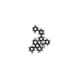 O=c1c2ccccc2c2cc(-c3cccc(-c4ccccc4)c3)ccc2n1-c1c2ccccc2c(-c2ccccc2)c2ccccc12